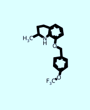 CC1CCc2cccc(OCc3ccc(OC(F)(F)F)cc3)c2N1